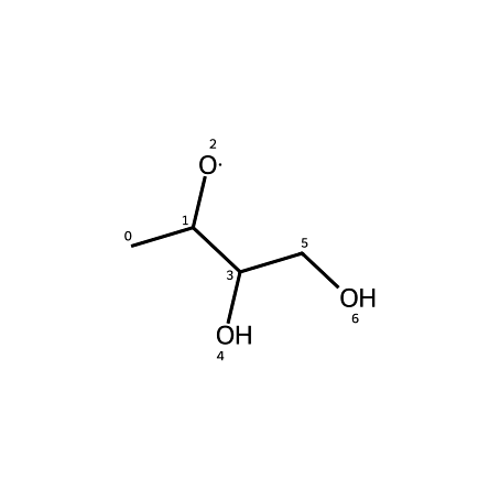 CC([O])C(O)CO